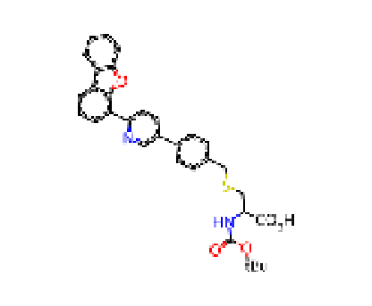 CC(C)(C)OC(=O)NC(CSCc1ccc(-c2ccc(-c3cccc4c3oc3ccccc34)nc2)cc1)C(=O)O